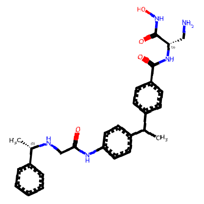 CC(c1ccc(NC(=O)CN[C@@H](C)c2ccccc2)cc1)c1ccc(C(=O)N[C@@H](CN)C(=O)NO)cc1